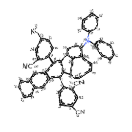 N#Cc1ccc(-c2c3c(c(-c4ccc(C#N)cc4C#N)c4cc5ccccc5cc24)-c2ccc(N(c4ccccc4)c4ccccc4)c4cccc-3c24)c(C#N)c1